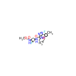 COCC(=O)N[C@H]1CC[C@@H](NC(=O)c2c(C)[nH]c3c(-c4c(OCC5CC5)ccc(C)c4F)ncnc23)C[C@H]1F